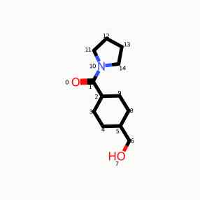 O=C(C1CCC(CO)CC1)N1CCCC1